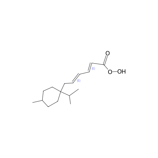 CC1CCC(C/C=C/C=C/C(=O)OO)(C(C)C)CC1